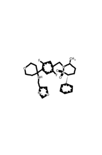 C[C@H]1CC[C@H](c2ccccc2)S(=O)(=O)N1Cc1cc(F)c(C2(NCc3cocn3)CCOCC2)cc1F